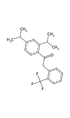 CC(C)c1[c]c(C(C)C)c(C(=O)Cc2ccccc2C(F)(F)F)cc1